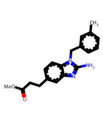 COC(=O)CCc1ccc2c(c1)nc(N)n2Cc1cccc(C)c1